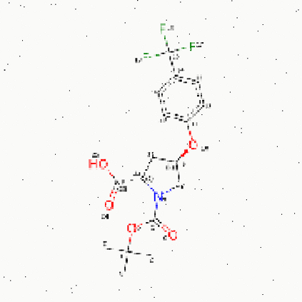 CC(C)(C)OC(=O)N1C[C@H](Oc2ccc(C(F)(F)F)cc2)C[C@H]1C(=O)O